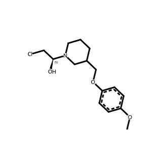 COc1ccc(OCC2CCCN([C@@H](O)CCl)C2)cc1